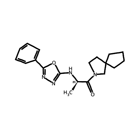 C[C@@H](Nc1nnc(-c2ccccc2)o1)C(=O)N1CCC2(CCCC2)C1